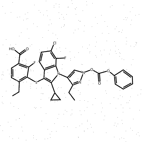 CCc1ccc(C(=O)O)c(F)c1Sc1c(C2CC2)n(-c2cn(OC(=O)Oc3ccccc3)nc2CC)c2c(F)c(Cl)ccc12